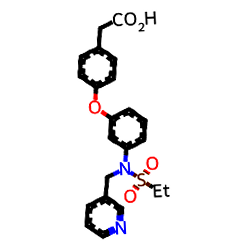 CCS(=O)(=O)N(Cc1cccnc1)c1cccc(Oc2ccc(CC(=O)O)cc2)c1